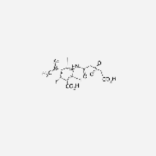 CC(=O)N(C)c1c(I)c(NC(=O)CS(=O)(=O)CC(=O)O)c(I)c(C(=O)O)c1I